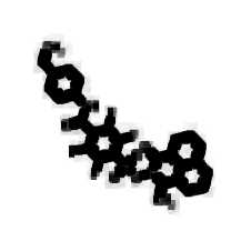 C=Cc1ccc(NC(=O)c2c(F)c(F)c(S(=O)(=O)On3c(=C)c4cccc5cccc(c3=O)c54)c(F)c2F)cc1